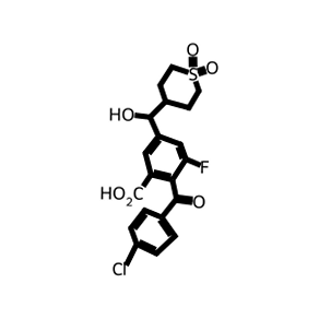 O=C(O)c1cc(C(O)C2CCS(=O)(=O)CC2)cc(F)c1C(=O)c1ccc(Cl)cc1